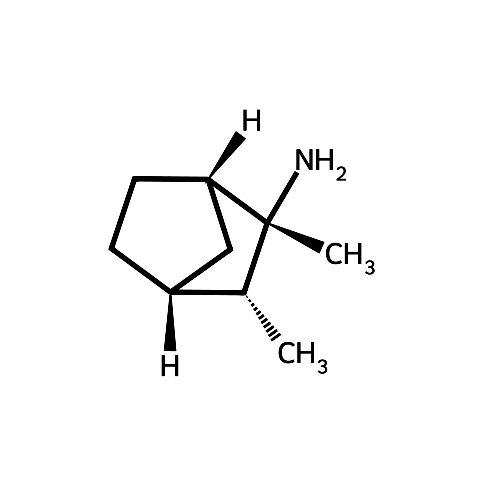 C[C@@H]1[C@@H]2CC[C@@H](C2)[C@]1(C)N